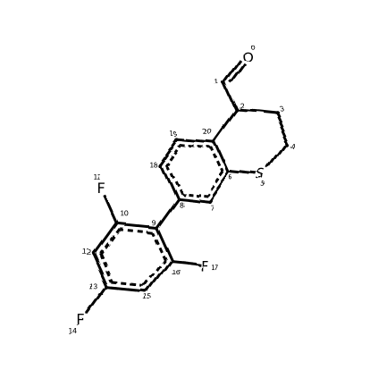 O=CC1CCSc2cc(-c3c(F)cc(F)cc3F)ccc21